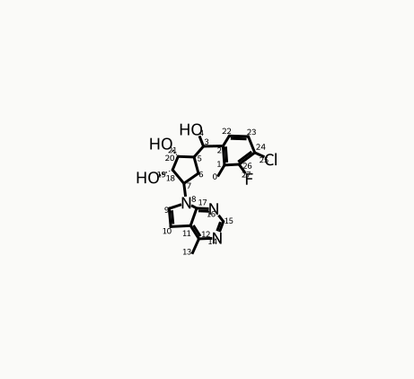 Cc1c(C(O)C2CC(n3ccc4c(C)ncnc43)[C@H](O)[C@@H]2O)ccc(Cl)c1F